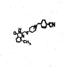 Cc1cccc2c(=O)[nH]c(CSC3CCN(Cc4ccc(C#N)cc4)CC3)nc12